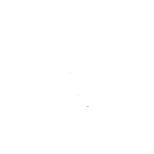 C=CCNc1ccccc1NCCCCC